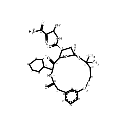 CCCC(NC(=O)[C@@H]1C[C@@H]2CC1C(=O)C(C1CCCCC1)NC(=O)Cc1cccc(c1)OCCCC(C)(C)O2)C(=O)C(N)=O